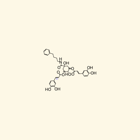 O=C(C=Cc1ccc(O)c(O)c1)O[C@@H]1CC(O)(C(=O)NCCCCc2ccccc2)C[C@@H](OC(=O)/C=C/c2ccc(O)c(O)c2)C1O